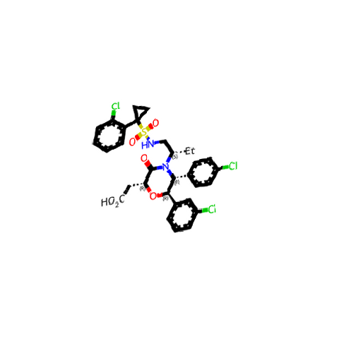 CC[C@@H](CNS(=O)(=O)C1(c2ccccc2Cl)CC1)N1C(=O)[C@@H](CC(=O)O)O[C@H](c2cccc(Cl)c2)[C@H]1c1ccc(Cl)cc1